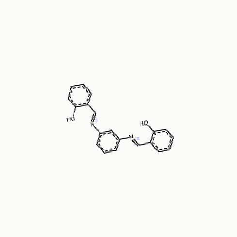 Oc1ccccc1/C=N/c1cccc(/N=C/c2ccccc2O)c1